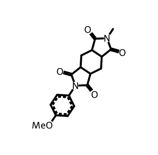 COc1ccc(N2C(=O)C3CC4C(=O)N(C)C(=O)C4CC3C2=O)cc1